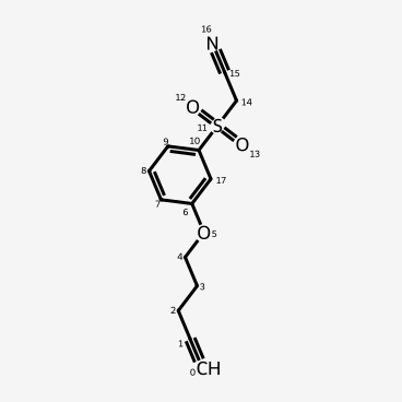 C#CCCCOc1cccc(S(=O)(=O)CC#N)c1